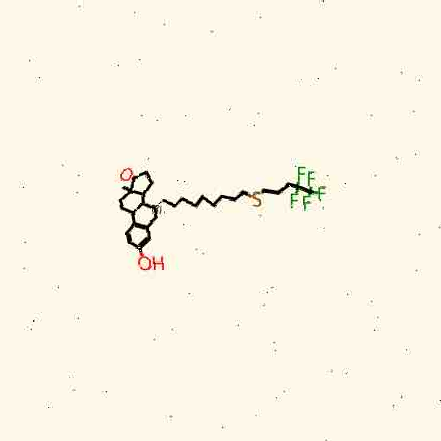 CC12CCC3c4ccc(O)cc4C[C@@H](CCCCCCCCCSCCCC(F)(F)C(F)(F)F)C3C1CCC2=O